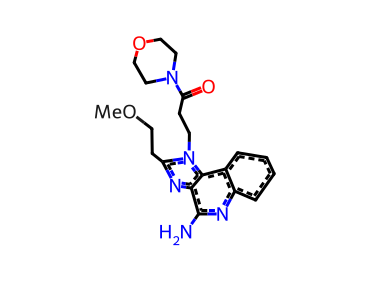 COCCc1nc2c(N)nc3ccccc3c2n1CCC(=O)N1CCOCC1